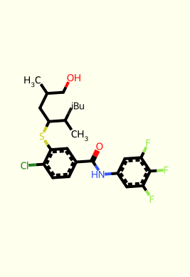 CCC(C)C(C)C(CC(C)CO)Sc1cc(C(=O)Nc2cc(F)c(F)c(F)c2)ccc1Cl